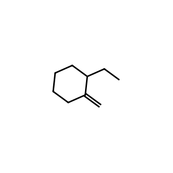 C=C1CCCCC1CC